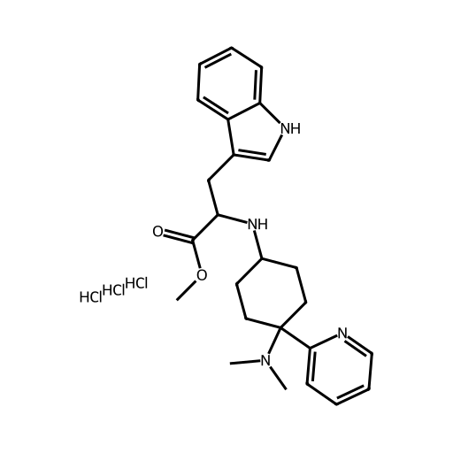 COC(=O)C(Cc1c[nH]c2ccccc12)NC1CCC(c2ccccn2)(N(C)C)CC1.Cl.Cl.Cl